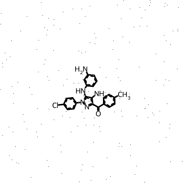 Cc1ccc(C(=O)c2nn(-c3ccc(Cl)cc3)c(Nc3cccc(N)c3)c2N)cc1